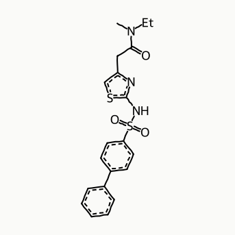 CCN(C)C(=O)Cc1csc(NS(=O)(=O)c2ccc(-c3ccccc3)cc2)n1